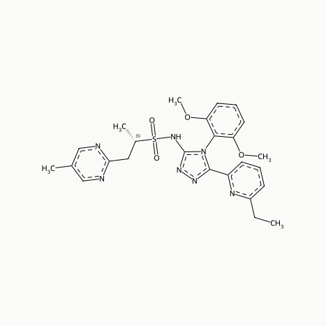 CCc1cccc(-c2nnc(NS(=O)(=O)[C@@H](C)Cc3ncc(C)cn3)n2-c2c(OC)cccc2OC)n1